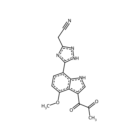 COc1ccc(-c2nc(CC#N)n[nH]2)c2[nH]cc(C(=O)C(C)=O)c12